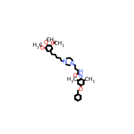 COc1cc(CCCCCN2CCCN(CCCC(=O)Nc3c(C)cc(OCc4ccccc4)cc3C)CC2)cc(OC)c1OC